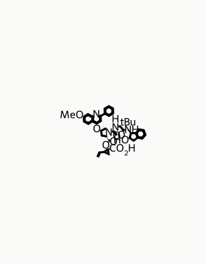 C=CC1C[C@]1(OC(=O)[C@@H]1C[C@@H](Oc2cc(-c3ccccc3)nc3cc(OC)ccc23)CN1C(=O)N[C@H](C(=O)N[C@H]1c2ccccc2C[C@H]1O)C(C)(C)C)C(=O)O